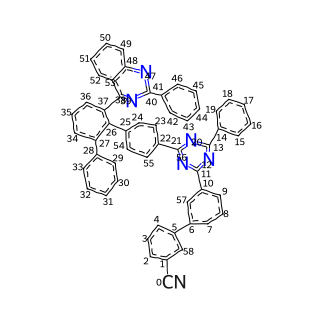 N#Cc1cccc(-c2cccc(-c3nc(-c4ccccc4)nc(-c4ccc(-c5c(-c6ccccc6)cccc5-c5nc(-c6ccccc6)nc6ccccc56)cc4)n3)c2)c1